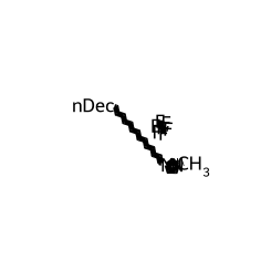 CCCCCCCCCCCCCCCCCCCCCCC=C[n+]1ccn(C)c1.F[P-](F)(F)(F)(F)F